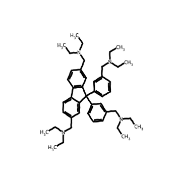 CCN(CC)Cc1cccc(C2(c3cccc(CN(CC)CC)c3)c3cc(CN(CC)CC)ccc3-c3ccc(CN(CC)CC)cc32)c1